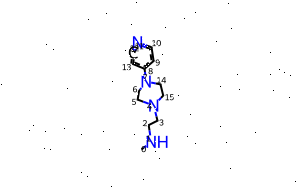 CNCCN1CCN(c2ccncc2)CC1